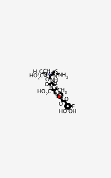 C[C@@H]1S[C@@H]2[C@H](NC(=O)/C(=N\OC(C)(C)C(=O)O)c3csc(N)n3)C(=O)N2C(C(=O)O)=C1C[N+]12CCC(CC1)N(C(=O)C(=O)c1cc(O)c(O)c(F)c1)CC2